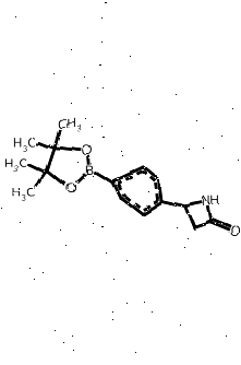 CC1(C)OB(c2ccc(C3CC(=O)N3)cc2)OC1(C)C